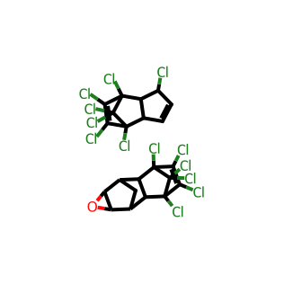 ClC1=C(Cl)C2(Cl)C3C(Cl)C=CC3C1(Cl)C2(Cl)Cl.ClC1=C(Cl)C2(Cl)C3C4CC(C5OC45)C3C1(Cl)C2(Cl)Cl